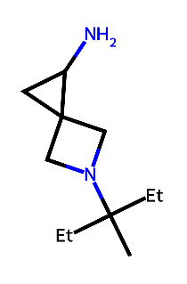 CCC(C)(CC)N1CC2(CC2N)C1